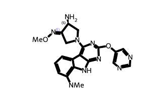 CNc1cccc2c1[nH]c1nc(Oc3cncnc3)nc(N3C/C(=N\OC)[C@@H](N)C3)c12